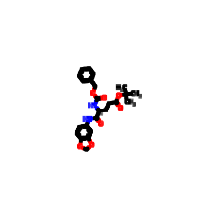 CC(C)(C)OC(=O)CC[C@H](NC(=O)OCc1ccccc1)C(=O)Nc1ccc2c(c1)OCO2